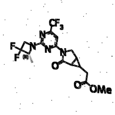 COC(=O)CC1C2CN(c3cc(C(F)(F)F)nc(N4CC(F)(F)[C@H]4C)n3)C(=O)C12